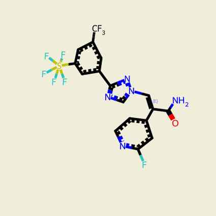 NC(=O)/C(=C/n1cnc(-c2cc(C(F)(F)F)cc(S(F)(F)(F)(F)F)c2)n1)c1ccnc(F)c1